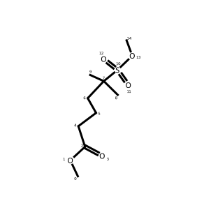 COC(=O)CCCC(C)(C)S(=O)(=O)OC